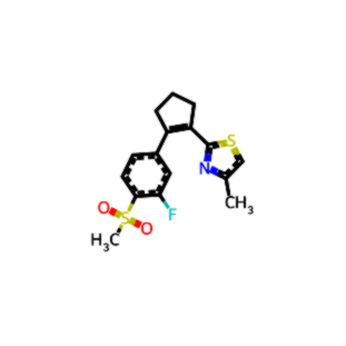 Cc1csc(C2=C(c3ccc(S(C)(=O)=O)c(F)c3)CCC2)n1